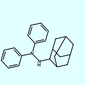 c1ccc(N(NC2C3CC4CC(C3)CC2C4)c2ccccc2)cc1